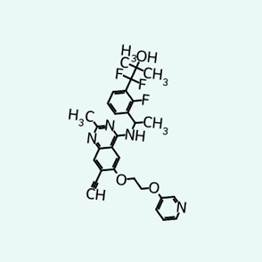 C#Cc1cc2nc(C)nc(NC(C)c3cccc(C(F)(F)C(C)(C)O)c3F)c2cc1OCCOc1cccnc1